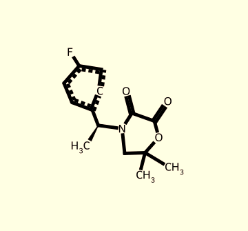 C[C@@H](c1ccc(F)cc1)N1CC(C)(C)OC(=O)C1=O